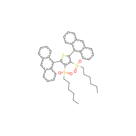 CCCCCCS(=O)(=O)c1c(-c2c3ccccc3cc3ccccc23)sc(-c2c3ccccc3cc3ccccc23)c1S(=O)(=O)CCCCCC